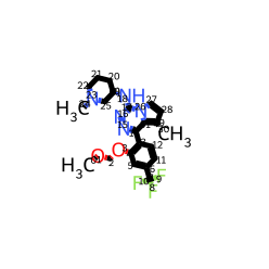 COCOc1cc(C(F)(F)F)ccc1-c1nnc(N[C@@H]2CCCN(C)C2)n2ccc(C)c12